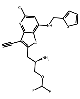 C#Cc1c(C[C@@H](N)COC(F)F)oc2c(NCc3cccs3)cc(Cl)nc12